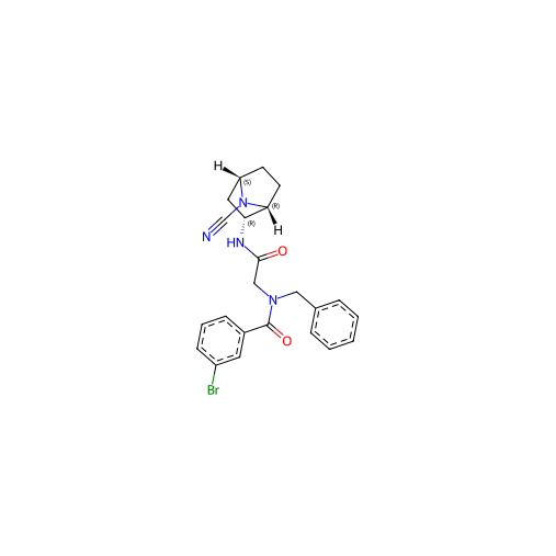 N#CN1[C@H]2CC[C@@H]1[C@H](NC(=O)CN(Cc1ccccc1)C(=O)c1cccc(Br)c1)C2